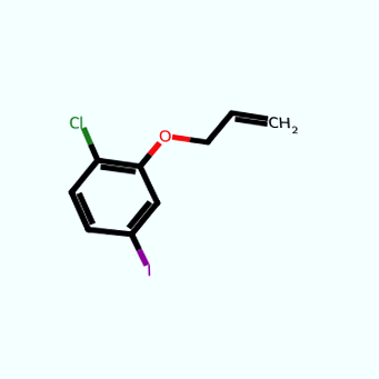 C=CCOc1cc(I)ccc1Cl